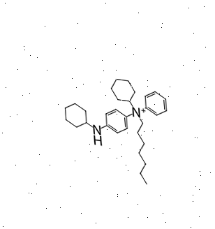 CCCCCCC[N+](c1ccccc1)(c1ccc(NC2CCCCC2)cc1)C1CCCCC1